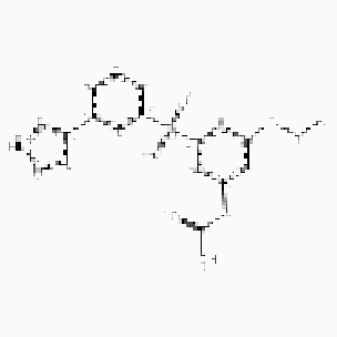 CCOc1cc(CC(=O)O)cc(S(=O)(=O)c2cccc(-c3cn[nH]c3)c2)c1